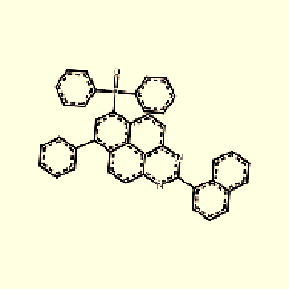 O=P(c1ccccc1)(c1ccccc1)c1cc(-c2ccccc2)c2ccc3nc(-c4cccc5ccccc45)nc4ccc1c2c34